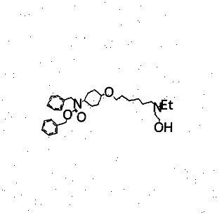 CCN(CCO)CCCCCCO[C@H]1CC[C@H](N(Cc2ccccc2)C(=O)OCc2ccccc2)CC1